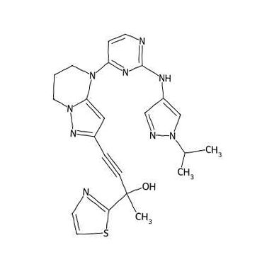 CC(C)n1cc(Nc2nccc(N3CCCn4nc(C#CC(C)(O)c5nccs5)cc43)n2)cn1